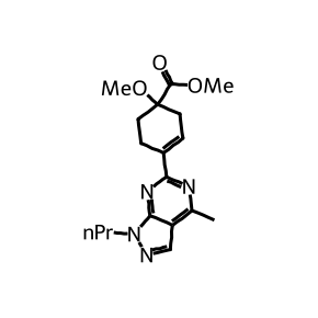 CCCn1ncc2c(C)nc(C3=CCC(OC)(C(=O)OC)CC3)nc21